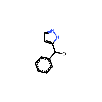 CCC(C1=CC=N[N]1)c1ccccc1